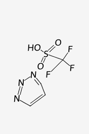 O=S(=O)(O)C(F)(F)F.c1cnnnc1